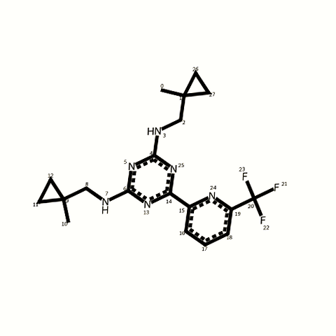 CC1(CNc2nc(NCC3(C)CC3)nc(-c3cccc(C(F)(F)F)n3)n2)CC1